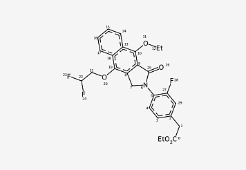 CCOC(=O)Cc1ccc(N2Cc3c(c(OCC)c4ccccc4c3OCC(F)F)C2=O)c(F)c1